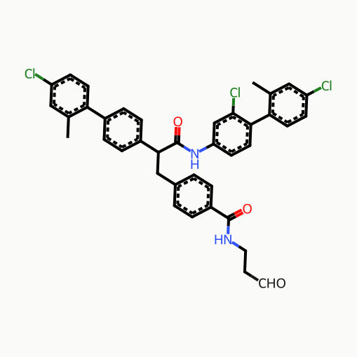 Cc1cc(Cl)ccc1-c1ccc(C(Cc2ccc(C(=O)NCCC=O)cc2)C(=O)Nc2ccc(-c3ccc(Cl)cc3C)c(Cl)c2)cc1